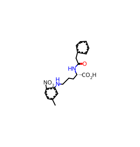 Cc1ccc([N+](=O)[O-])c(NCCC[C@H](NC(=O)Cc2ccccc2)C(=O)O)c1